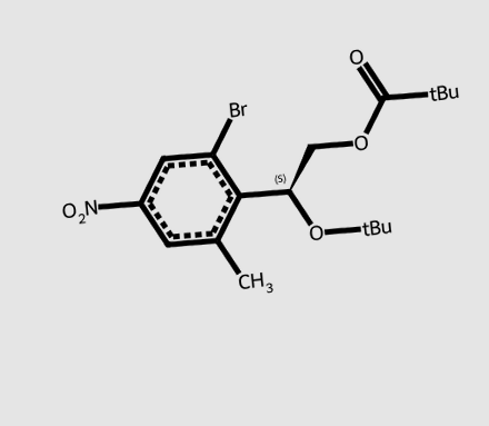 Cc1cc([N+](=O)[O-])cc(Br)c1[C@@H](COC(=O)C(C)(C)C)OC(C)(C)C